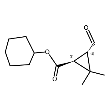 CC1(C)[C@@H](C=O)[C@@H]1C(=O)OC1CCCCC1